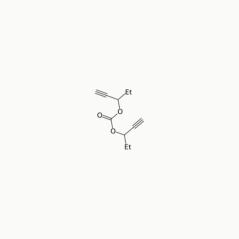 C#CC(CC)OC(=O)OC(C#C)CC